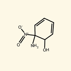 NC1([N+](=O)[O-])C=CC=CC1O